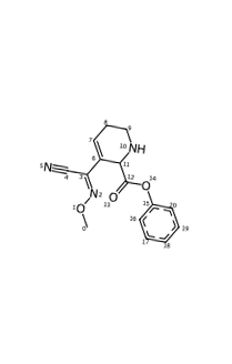 CON=C(C#N)C1=CCCNC1C(=O)Oc1ccccc1